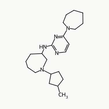 CC1CCC(N2CCCCC(Nc3nccc(N4CCCCCC4)n3)C2)C1